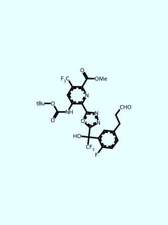 COC(=O)c1nc(-c2nnc(C(O)(c3cc(CCC=O)ccc3F)C(F)(F)F)o2)c(NC(=O)OC(C)(C)C)cc1C(F)(F)F